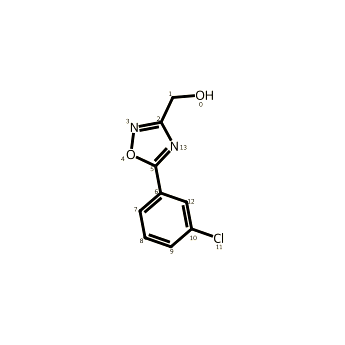 OCc1noc(-c2cccc(Cl)c2)n1